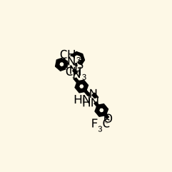 Cc1cccc(C)c1N1CCCCS/C1=N\N=C\c1ccc(C(=N)/N=C\Nc2ccc(OC(F)(F)F)cc2)cc1